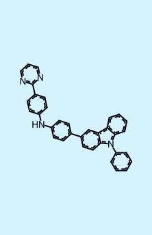 c1ccc(-n2c3ccccc3c3cc(-c4ccc(Nc5ccc(-c6ncccn6)cc5)cc4)ccc32)cc1